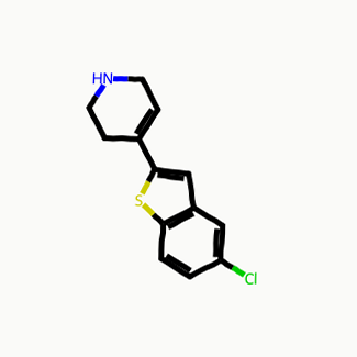 Clc1ccc2sc(C3=CCNCC3)cc2c1